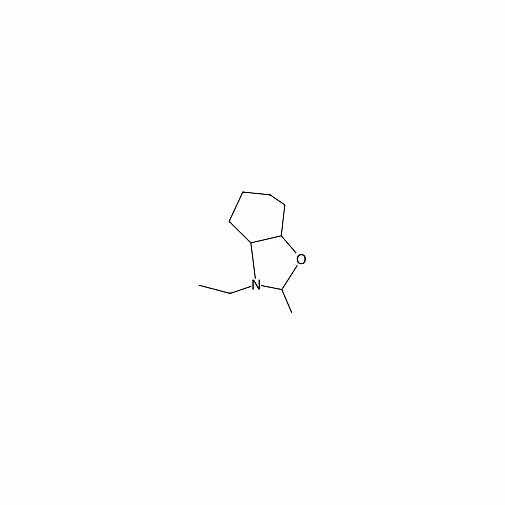 CCN1C(C)OC2CCCCC21